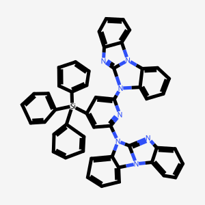 c1ccc([Si](c2ccccc2)(c2ccccc2)c2cc(-n3c4ccccc4n4c5ccccc5nc34)nc(-n3c4ccccc4n4c5ccccc5nc34)c2)cc1